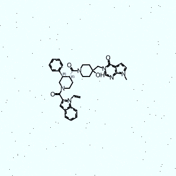 C=Cn1c(C(=O)N2CC[C@@H](C(=O)N3CCC(O)(Cn4cnc5c(ccn5C)c4=O)CC3)[C@H](c3ccccc3)C2)cc2ccccc21